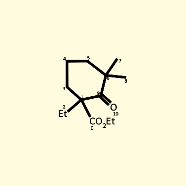 CCOC(=O)C1(CC)CCCC(C)(C)C1=O